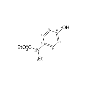 CCOC(=O)N(CC)c1ccc(O)cc1